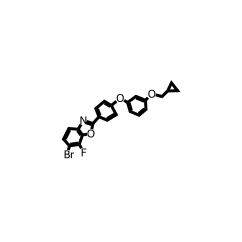 Fc1c(Br)ccc2nc(-c3ccc(Oc4cccc(OCC5CC5)c4)cc3)oc12